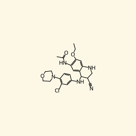 CCOc1cc2c(cc1NC(C)=O)C(Nc1ccc(N3CCOCC3)c(Cl)c1)C(C#N)CN2